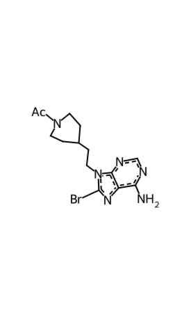 CC(=O)N1CCC(CCn2c(Br)nc3c(N)ncnc32)CC1